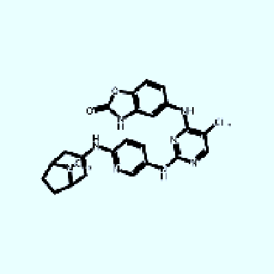 Cc1cnc(Nc2ccc(NC3CC4CCC(C3)N4C)nc2)nc1Nc1ccc2oc(=O)[nH]c2c1